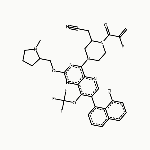 C=C(F)C(=O)N1CCN(c2nc(OCC3CCCN3C)nc3c(OC(F)(F)F)c(-c4cccc5cccc(Cl)c45)cnc23)CC1CC#N